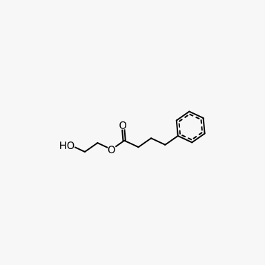 O=C(CCCc1ccccc1)OCCO